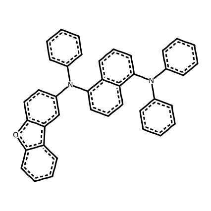 c1ccc(N(c2ccccc2)c2cccc3c(N(c4ccccc4)c4ccc5oc6ccccc6c5c4)cccc23)cc1